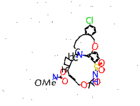 CON(C)C(=O)O[C@H]1/C=C/COC(C)(C)C(=O)NS(=O)(=O)c2ccc3c(c2)N(CCCCc2cc(Cl)ccc2CO3)C[C@@H]2CC[C@H]21